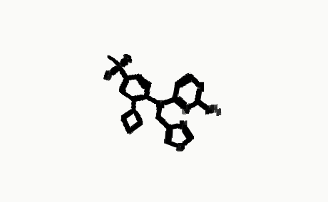 CS(=O)(=O)c1ccc(N(Cc2cocn2)c2ccnc(N)n2)c(C2CCC2)c1